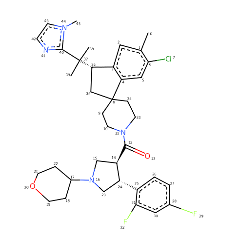 Cc1cc2c(cc1Cl)C1(CCN(C(=O)[C@@H]3CN(C4CCOCC4)C[C@H]3c3ccc(F)cc3F)CC1)C[C@@H]2C(C)(C)c1nccn1C